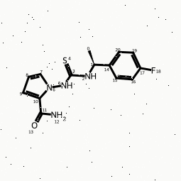 C[C@H](NC(=S)Nn1cccc1C(N)=O)c1ccc(F)cc1